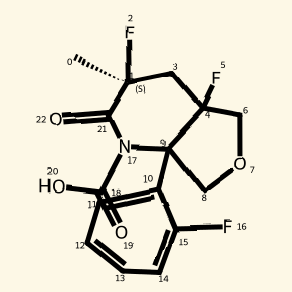 C[C@]1(F)CC2(F)COCC2(c2ccccc2F)N(C(=O)O)C1=O